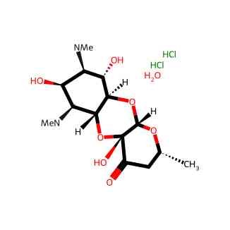 CN[C@@H]1[C@H](O)[C@H](NC)[C@H]2O[C@@]3(O)C(=O)C[C@@H](C)O[C@H]3O[C@@H]2[C@H]1O.Cl.Cl.O